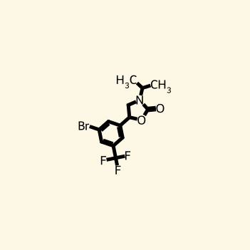 CC(C)N1CC(c2cc(Br)cc(C(F)(F)F)c2)OC1=O